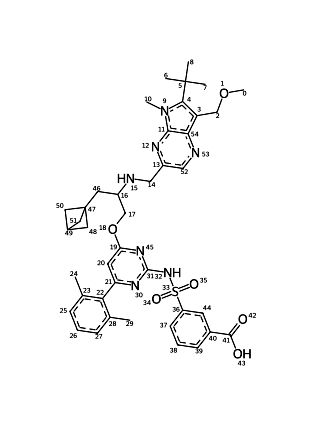 COCc1c(C(C)(C)C)n(C)c2nc(CNC(COc3cc(-c4c(C)cccc4C)nc(NS(=O)(=O)c4cccc(C(=O)O)c4)n3)CC34CC(C3)C4)cnc12